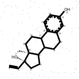 C=C[C@]1(O)CCC2C3CCc4cc(O)ccc4C3CC[C@@]21C